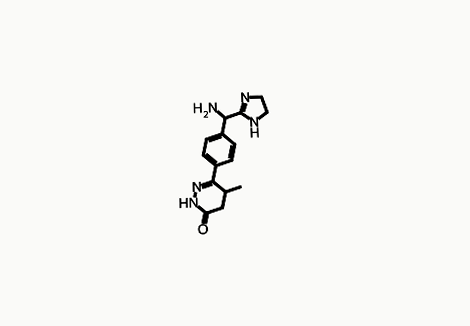 CC1CC(=O)NN=C1c1ccc(C(N)C2=NCCN2)cc1